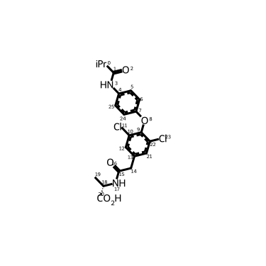 CC(C)C(=O)Nc1ccc(Oc2c(Cl)cc(CC(=O)N[C@@H](C)C(=O)O)cc2Cl)cc1